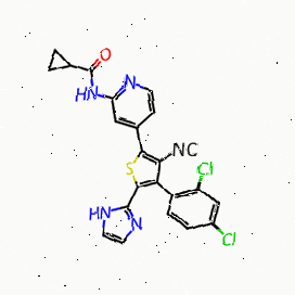 [C-]#[N+]c1c(-c2ccnc(NC(=O)C3CC3)c2)sc(-c2ncc[nH]2)c1-c1ccc(Cl)cc1Cl